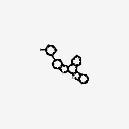 Ic1cccc(-c2ccc3oc4c5oc6ccccc6c5c5ccccc5c4c3c2)c1